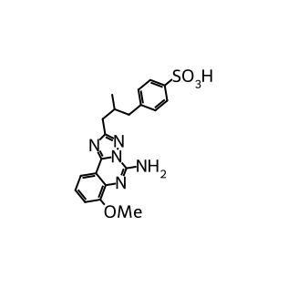 COc1cccc2c1nc(N)n1nc(CC(C)Cc3ccc(S(=O)(=O)O)cc3)nc21